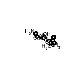 COc1cc(N)ccc1C(=O)N[C@H]1CCN(C(C)CC(C(=O)N(C)C)(c2ccccc2)c2ccccc2)C[C@@H]1O